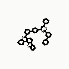 c1ccc(-c2cccc(-c3nc(-c4ccccc4)cc(-c4ccc(-c5cccc(-c6nc7ccccc7c7c6ccc6c8ccccc8sc67)c5)cc4)n3)c2)cc1